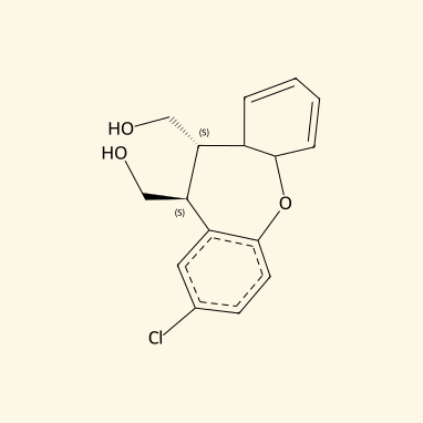 OC[C@@H]1c2cc(Cl)ccc2OC2C=CC=CC2[C@H]1CO